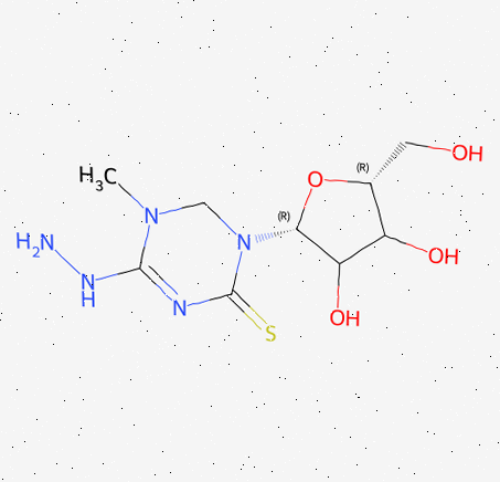 CN1CN([C@@H]2O[C@H](CO)C(O)C2O)C(=S)N=C1NN